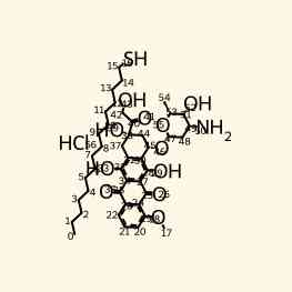 CCCCCCCCCCCCCCCCS.COc1cccc2c1C(=O)c1c(O)c3c(c(O)c1C2=O)C[C@@](O)(C(=O)CO)C[C@@H]3O[C@H]1C[C@H](N)[C@H](O)[C@H](C)O1.Cl